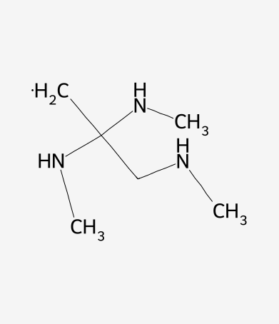 [CH2]C(CNC)(NC)NC